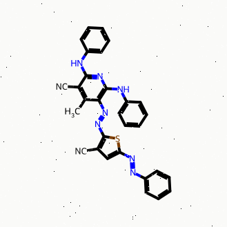 Cc1c(C#N)c(Nc2ccccc2)nc(Nc2ccccc2)c1N=Nc1sc(N=Nc2ccccc2)cc1C#N